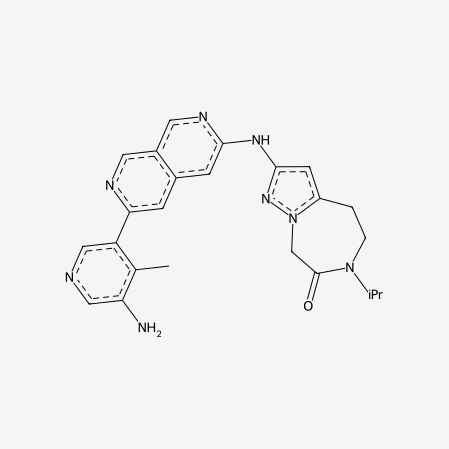 Cc1c(N)cncc1-c1cc2cc(Nc3cc4n(n3)CC(=O)N(C(C)C)CC4)ncc2cn1